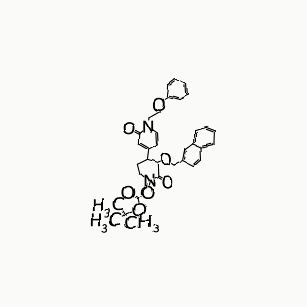 CC(C)(C)OC(=O)ON1CCC(c2ccn(CCOc3ccccc3)c(=O)c2)C(OCc2ccc3ccccc3c2)C1=O